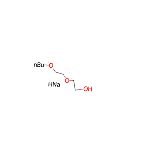 CCCCOCCOCCO.[NaH]